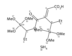 CCC(OC(=O)C(=CC(=O)O)C(CC)[Si](OC)(OC)OC)[Si](OC)(OC)OC.[SiH4]